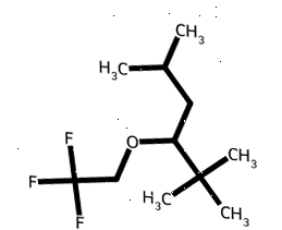 CC(C)CC(OCC(F)(F)F)C(C)(C)C